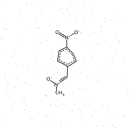 C[N+]([O-])=Cc1ccc([N+](=O)[O-])cc1